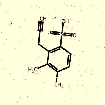 C#CCc1c(S(=O)(=O)O)ccc(C)c1C